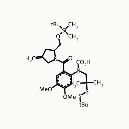 C=C1C[C@@H](CO[Si](C)(C)C(C)(C)C)N(C(=O)c2cc(OC)c(OC)cc2N(CC(C)(C)SSC(C)(C)C)C(=O)O)C1